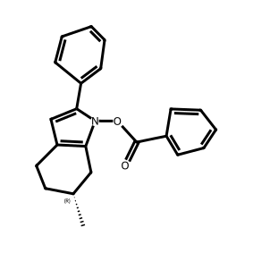 C[C@@H]1CCc2cc(-c3ccccc3)n(OC(=O)c3ccccc3)c2C1